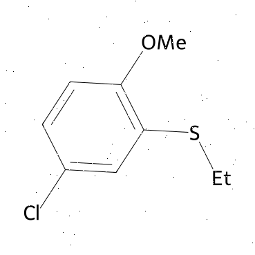 CCSc1cc(Cl)ccc1OC